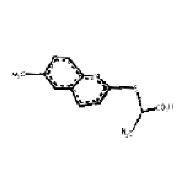 Cc1ccc2nc(SC(C)C(=O)O)ccc2c1